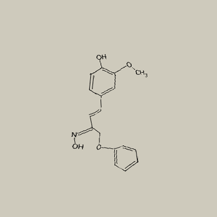 COc1cc(/C=C/C(COc2ccccc2)=N/O)ccc1O